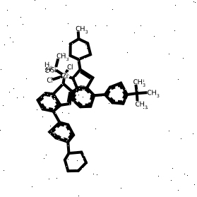 CC1=Cc2c(-c3ccc(C4CCCCC4)cc3)cccc2[CH]1[Zr]([Cl])([Cl])([CH]1C(C2CCC(C)CC2)=Cc2c(-c3ccc(C(C)(C)C)cc3)cccc21)[SiH](C)C